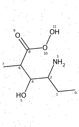 CCC(N)C(O)C(C)C(=O)OO